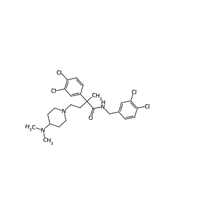 CN(C)C1CCN(CCC(C)(C(=O)NCc2ccc(Cl)c(Cl)c2)c2ccc(Cl)c(Cl)c2)CC1